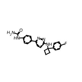 NC(=O)Nc1ccc(-c2ccc(NC3(c4ccc(F)cc4)CCC3)nn2)cc1